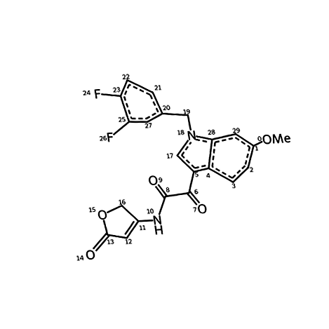 COc1ccc2c(C(=O)C(=O)NC3=CC(=O)OC3)cn(Cc3ccc(F)c(F)c3)c2c1